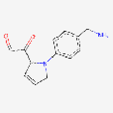 NCc1ccc(N2CC=CC2C(=O)C=O)cc1